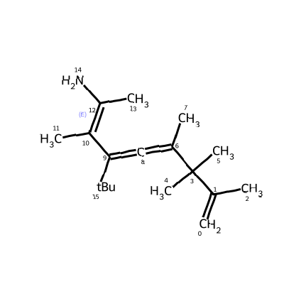 C=C(C)C(C)(C)C(C)=C=C(/C(C)=C(\C)N)C(C)(C)C